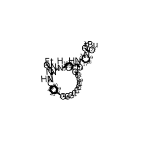 CCOc1nc2nc(n1)Nc1ccc(C(=O)NC3CCCN(C(=O)OC(C)(C)C)C3)c(c1)OCCCCCCCCOc1ccc(cc1)CN2